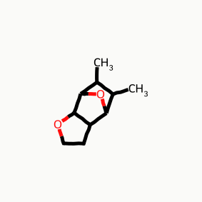 CC1C(C)C2OC1C1CCOC12